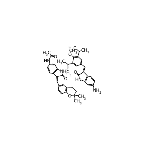 CC(=O)Nc1ccc2c(c1)NC(=O)C2=Cc1ccc2c(c1)CCC(C)(C)O2.COc1c(C(C)C)cc(C=C2C(=O)Nc3cc(N)ccc32)cc1C(C)C